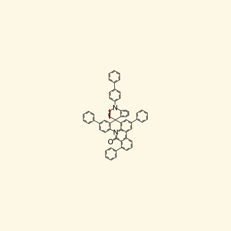 O=c1c2c(-c3ccccc3)cccc2c2cc(-c3ccccc3)cc3c2n1-c1ccc(-c2ccccc2)cc1C31c2ccccc2N(c2ccc(-c3ccccc3)cc2)c2ccccc21